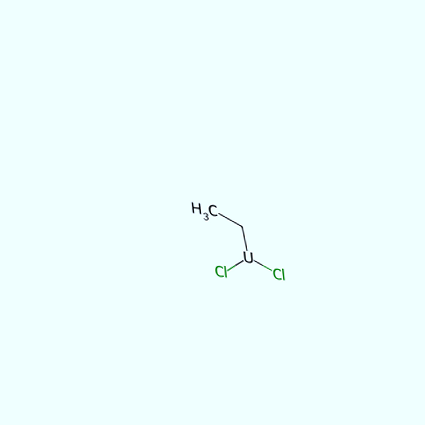 C[CH2][U]([Cl])[Cl]